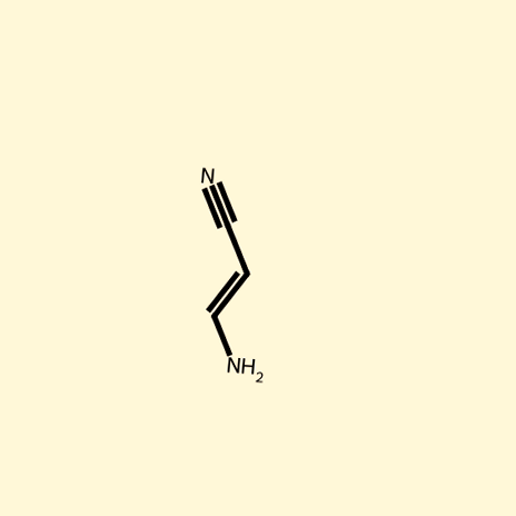 N#C/C=C/N